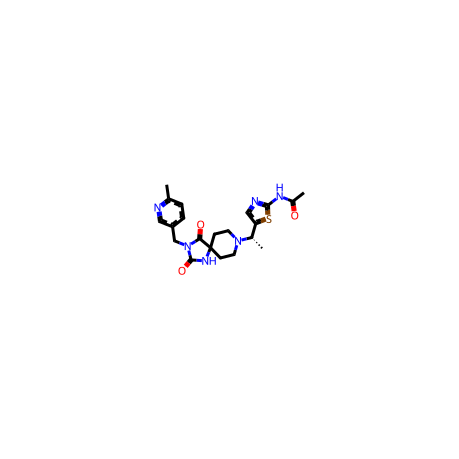 CC(=O)Nc1ncc([C@H](C)N2CCC3(CC2)NC(=O)N(Cc2ccc(C)nc2)C3=O)s1